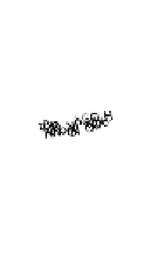 Cc1ccc(-c2ccc(C(=O)NC(Cc3cc(C)cc(-c4noc(-c5ccc(NC(=O)OC(C)(C)C)cc5)n4)c3)C(=O)O)o2)cc1